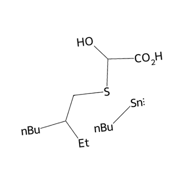 CCCCC(CC)CSC(O)C(=O)O.CCC[CH2][Sn]